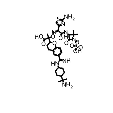 CC(C)(N)C1CCC(NC(=N)c2ccc3c(c2)CCC(C(C)(ON=C(C(=O)NC2C(=O)N(OS(=O)(=O)O)C2(C)C)c2csc(N)n2)C(=O)O)O3)CC1